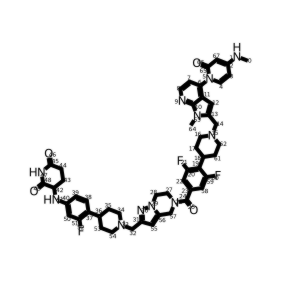 CNc1ccn(-c2ccnc3c2cc(CN2CCC(c4c(F)cc(C(=O)N5CCn6nc(CN7CCC(c8ccc(NC9CCC(=O)NC9=O)cc8F)CC7)cc6C5)cc4F)CC2)n3C)c(=O)c1